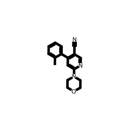 Cc1ccccc1-c1cc(N2CCOCC2)ncc1C#N